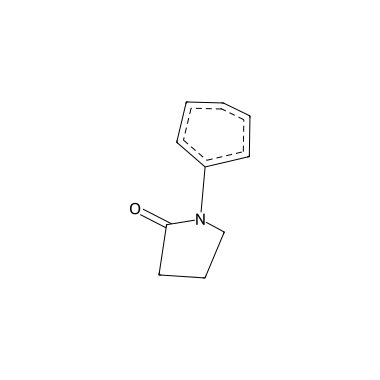 O=C1CCCN1c1ccccc1